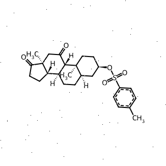 Cc1ccc(S(=O)(=O)O[C@@H]2CC[C@@]3(C)[C@H](CC[C@@H]4[C@@H]3C(=O)C[C@]3(C)C(=O)CC[C@@H]43)C2)cc1